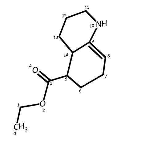 CCOC(=O)C1CCC=C2NCCCC21